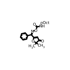 CCCCCCCCNC(=O)ON=C(C1=CC(=O)C(C)(C)O1)c1ccccc1